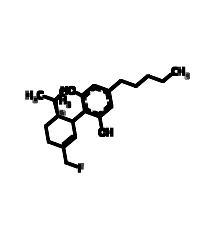 CCCCCc1cc(O)c(C2C=C(CF)CC[C@H]2C(C)C)c(O)c1